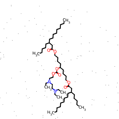 CCCCCCCCCC(CCCCC)CC(=O)OCCCCC(CCCCOC(=O)CC(CCCCC)CCCCCCCCC)OC(=O)OCCN(CC)CCN(CC)CC